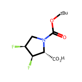 CC(C)(C)OC(=O)N1C[C@H](F)[C@H](F)[C@H]1C(=O)O